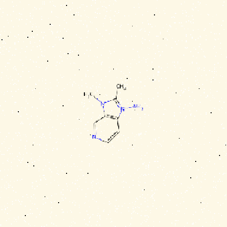 Cc1n(C)c2cnccc2[n+]1N